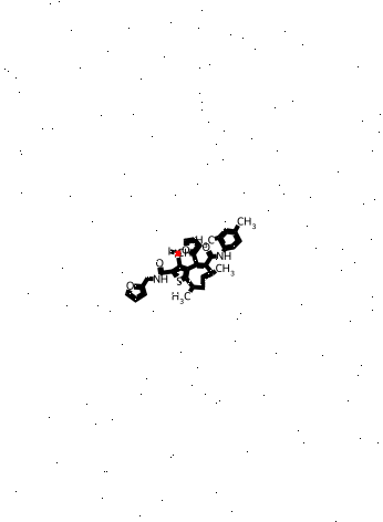 CC1=C\CC(C)c2sc(C(=O)NCc3ccco3)c(N(C)I)c2/C(c2ccco2)=C\1C(=O)Nc1ccc(C)cc1C